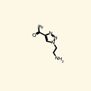 CC(C)C(=O)c1cn(CCN)nn1